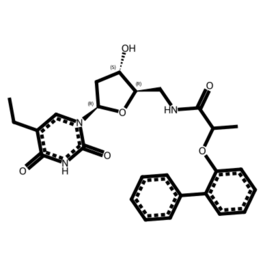 CCc1cn([C@H]2C[C@H](O)[C@@H](CNC(=O)C(C)Oc3ccccc3-c3ccccc3)O2)c(=O)[nH]c1=O